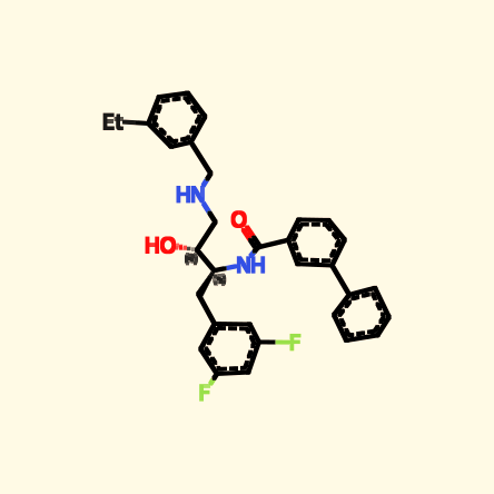 CCc1cccc(CNC[C@@H](O)[C@H](Cc2cc(F)cc(F)c2)NC(=O)c2cccc(-c3ccccc3)c2)c1